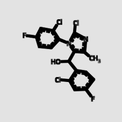 Cc1nc(Cl)n(-c2ccc(F)cc2Cl)c1C(O)c1ccc(F)cc1Cl